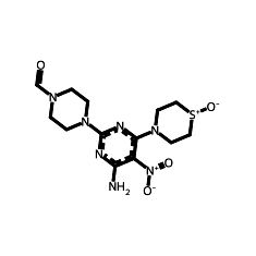 Nc1nc(N2CCN(C=O)CC2)nc(N2CC[S+]([O-])CC2)c1[N+](=O)[O-]